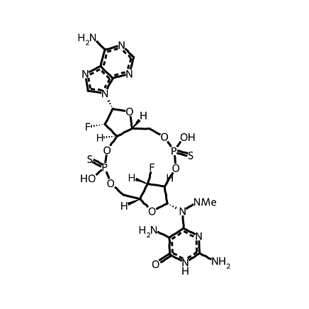 CNN(c1nc(N)[nH]c(=O)c1N)[C@@H]1O[C@@H]2COP(O)(=S)O[C@H]3[C@H](F)[C@H](n4cnc5c(N)ncnc54)O[C@@H]3COP(O)(=S)O[C@@H]1[C@H]2F